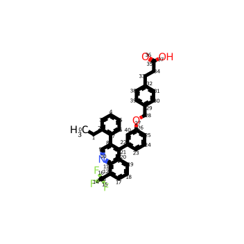 CCc1ccccc1-c1cnc2c(C(F)(F)F)cccc2c1-c1cccc(OCc2ccc(CCC(=O)O)cc2)c1